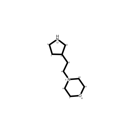 C1CC(CCN2CCOCC2)CN1